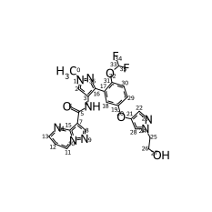 Cn1cc(NC(=O)c2cnn3cccnc23)c(-c2cc(Oc3cnn(CCO)c3)ccc2OC(F)F)n1